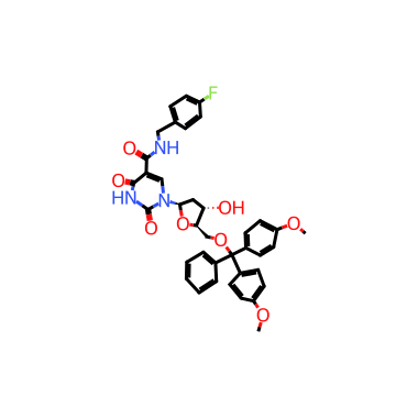 COc1ccc(C(OC[C@H]2O[C@@H](n3cc(C(=O)NCc4ccc(F)cc4)c(=O)[nH]c3=O)C[C@@H]2O)(c2ccccc2)c2ccc(OC)cc2)cc1